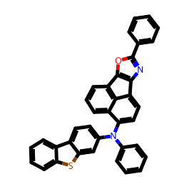 c1ccc(-c2nc3c(o2)-c2cccc4c(N(c5ccccc5)c5ccc6c(c5)sc5ccccc56)ccc-3c24)cc1